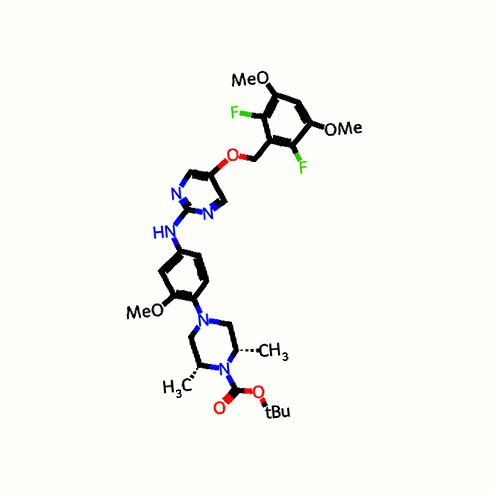 COc1cc(Nc2ncc(OCc3c(F)c(OC)cc(OC)c3F)cn2)ccc1N1C[C@@H](C)N(C(=O)OC(C)(C)C)[C@@H](C)C1